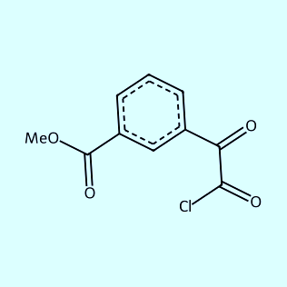 COC(=O)c1cccc(C(=O)C(=O)Cl)c1